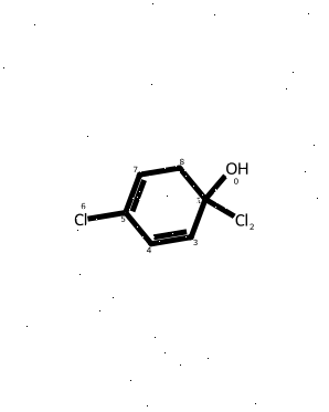 OC1(Cl)C=CC(Cl)=CC1